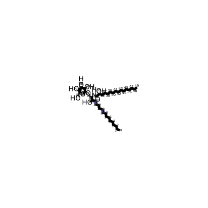 CCCCCCCCC/C=C/CC/C=C/[C@@H](O)[C@H](CO[C@@H]1O[C@H](CO)[C@@H](O)[C@H](O)[C@H]1O)NC(=O)C(O)CCCCCCCCCCCCCC